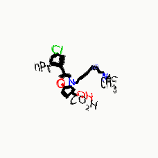 CCCc1cc(Cl)ccc1C1COc2ccc(C(O)C(=O)O)cc2N(CCC/C=C\CCN(C)C(C)=O)C1